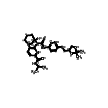 CC(NC(=O)c1ccc2c(n1)N(C(=O)Nc1ccc(OCC3COC(C)(C)O3)nn1)[C@H]1CCCN2C1)C(F)(F)F